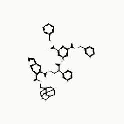 O=C(OCc1ccccc1)c1cc(NC(=O)C(CNC(=O)c2cc3ccoc3cc2C(=O)NCC23CC4CC(CC(C4)C2)C3)c2ccccc2)cc(C(=O)OCc2ccccc2)c1